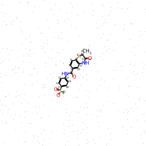 C[C@H]1Sc2ccc(C(=O)Nc3ccc(S(=O)(=O)F)cc3)cc2NC1=O